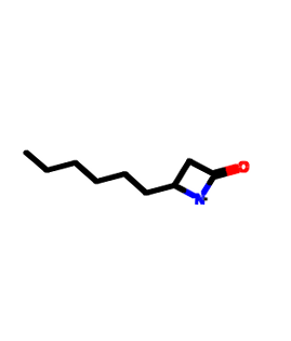 CCCCCCC1CC(=O)[N]1